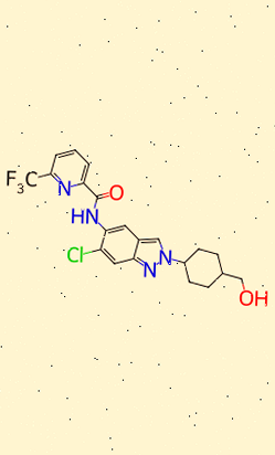 O=C(Nc1cc2cn(C3CCC(CO)CC3)nc2cc1Cl)c1cccc(C(F)(F)F)n1